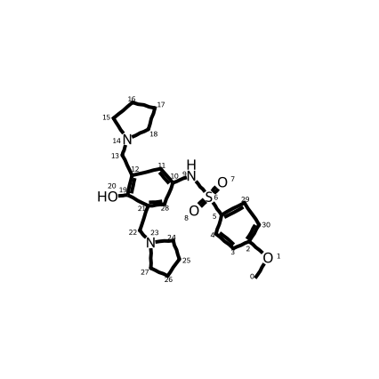 COc1ccc(S(=O)(=O)Nc2cc(CN3CCCC3)c(O)c(CN3CCCC3)c2)cc1